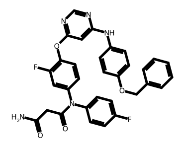 NC(=O)CC(=O)N(c1ccc(F)cc1)c1ccc(Oc2cc(Nc3ccc(OCc4ccccc4)cc3)ncn2)c(F)c1